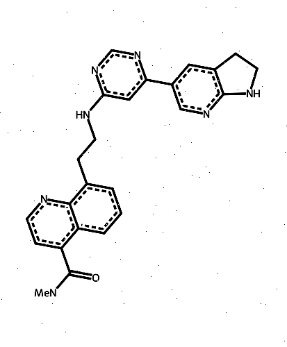 CNC(=O)c1ccnc2c(CCNc3cc(-c4cnc5c(c4)CCN5)ncn3)cccc12